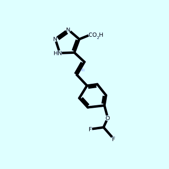 O=C(O)c1nn[nH]c1/C=C/c1ccc(OC(F)F)cc1